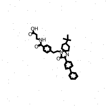 CC(C)(C)C1CCC2(CC1)N=C(c1ccc(-c3ccccc3)cc1)C(=O)N2CCc1ccc(C(=O)NCCC(=O)O)cc1